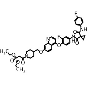 CCOP(=O)(CC(=O)N1CCC(COc2ccc3c(Oc4ccc(NC(=O)C5(C(=O)Nc6ccc(F)cc6)CC5)cc4F)ccnc3c2)CC1)OCC